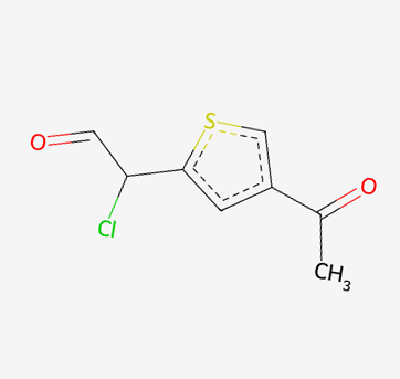 CC(=O)c1csc(C(Cl)C=O)c1